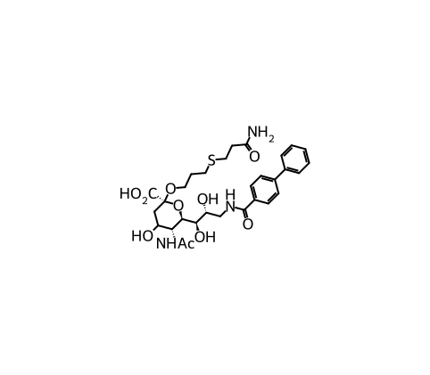 CC(=O)N[C@@H]1C(O)C[C@](OCCCSCCC(N)=O)(C(=O)O)O[C@H]1[C@H](O)[C@H](O)CNC(=O)c1ccc(-c2ccccc2)cc1